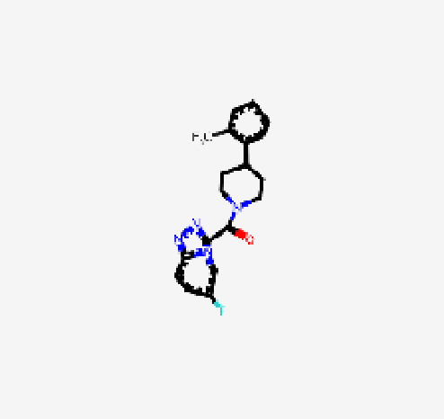 O=C(c1nnc2ccc(F)cn12)N1CCC(c2ccccc2C(F)(F)F)CC1